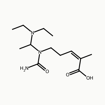 CCN(CC)C(C)N(CCC=C(C)C(=O)O)C(N)=O